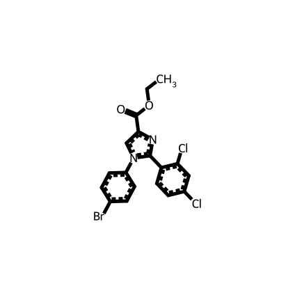 CCOC(=O)c1cn(-c2ccc(Br)cc2)c(-c2ccc(Cl)cc2Cl)n1